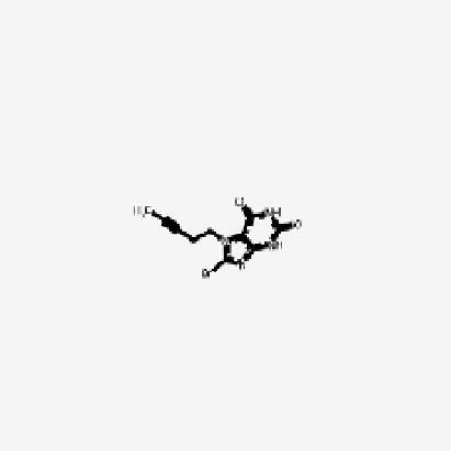 CC#CCCn1c(Br)nc2[nH]c(=O)[nH]c(=O)c21